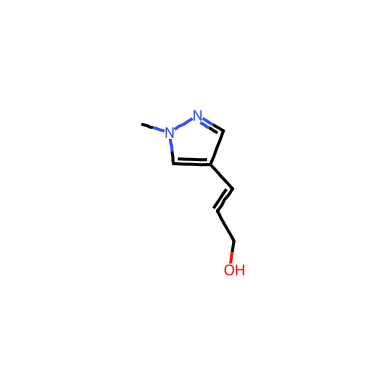 Cn1cc(/C=C/CO)cn1